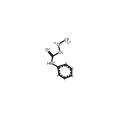 O=C(Nc1ccccc1)OOC(F)(F)F